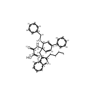 CCCCc1oc2ccccc2c1CC1(NC(=O)C(=O)O)C=CC(c2ccccc2)=CC1OCc1ccccc1